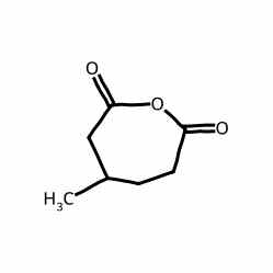 CC1CCC(=O)OC(=O)C1